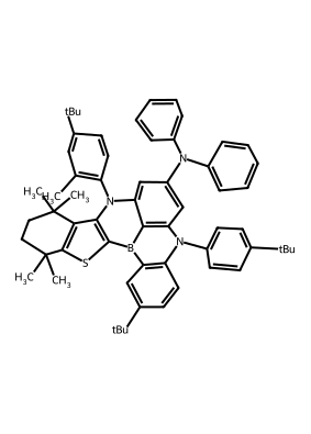 Cc1cc(C(C)(C)C)ccc1N1c2cc(N(c3ccccc3)c3ccccc3)cc3c2B(c2cc(C(C)(C)C)ccc2N3c2ccc(C(C)(C)C)cc2)c2sc3c(c21)C(C)(C)CCC3(C)C